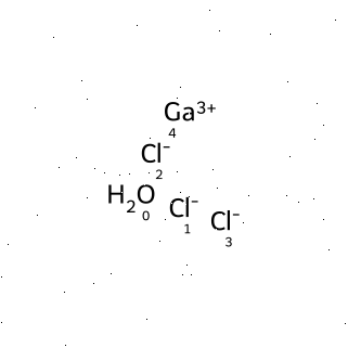 O.[Cl-].[Cl-].[Cl-].[Ga+3]